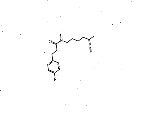 C=C=C(C)CCCCN(C)C(=O)CCc1ccc(F)cc1